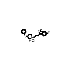 Cl.Fc1ccc2c(CCCN3CCC(Sc4ccccc4)CC3)noc2c1